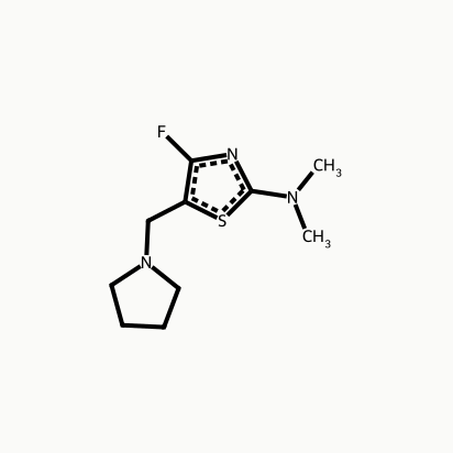 CN(C)c1nc(F)c(CN2CCCC2)s1